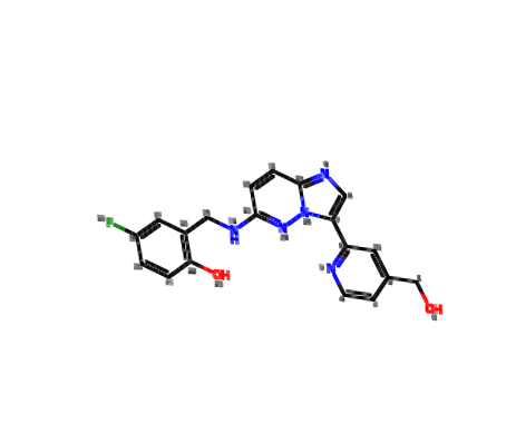 OCc1ccnc(-c2cnc3ccc(NCc4cc(F)ccc4O)nn23)c1